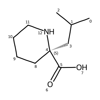 CC(C)C[C@]1(C(=O)O)CCCCN1